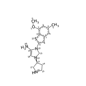 COc1cc(C)cc2cc(N3CN([C@H]4CCNC4)C=C3N)sc12